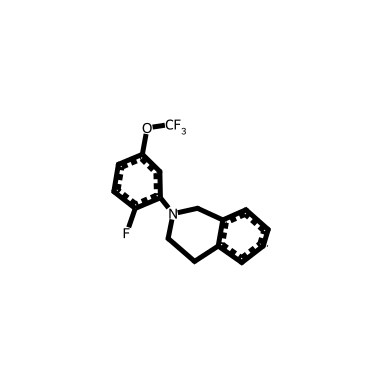 Fc1ccc(OC(F)(F)F)cc1N1CCc2c[c]ccc2C1